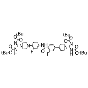 CC(C)(C)OC(=O)/N=C(/NC(=O)OC(C)(C)C)N1CC=C(c2ccc(C(=O)Nc3ccc(N4CCN(/C(=N\C(=O)OC(C)(C)C)NC(=O)OC(C)(C)C)CC4)c(F)c3)c(F)c2)CC1